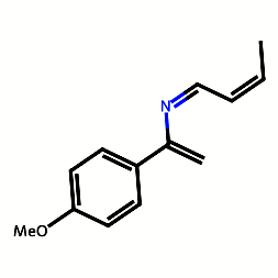 C=C(/N=C\C=C/C)c1ccc(OC)cc1